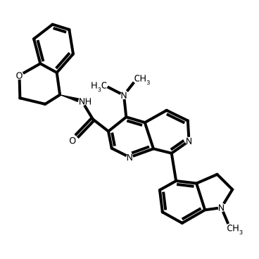 CN(C)c1c(C(=O)N[C@H]2CCOc3ccccc32)cnc2c(-c3cccc4c3CCN4C)nccc12